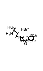 Br.N[C@H](CO)CCN1CC(C(=O)c2ccc(F)cc2)C1